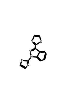 c1ccc2c(c1)c(-c1nccs1)nn2-c1nccs1